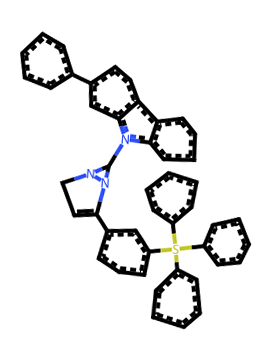 C1=C(c2cccc(S(c3ccccc3)(c3ccccc3)c3ccccc3)c2)N2C(n3c4ccccc4c4ccc(-c5ccccc5)cc43)N2C1